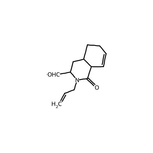 C=CCN1C(=O)C2C=CCCC2CC1[C]=O